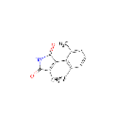 CC1=C(c2c(C)cccc2C)C(=O)NC1=O